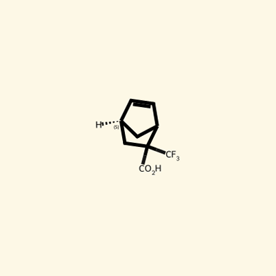 O=C(O)C1(C(F)(F)F)C[C@H]2C=CC1C2